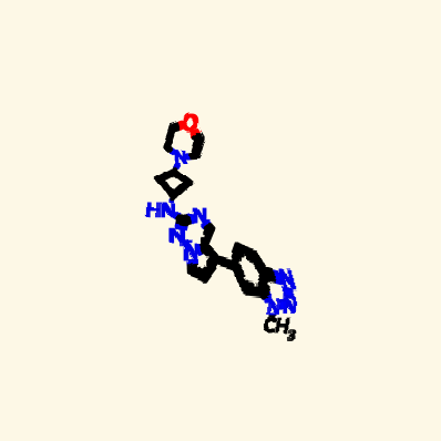 Cn1nnc2ccc(-c3ccn4nc(N[C@H]5C[C@H](N6CCOCC6)C5)ncc34)cc21